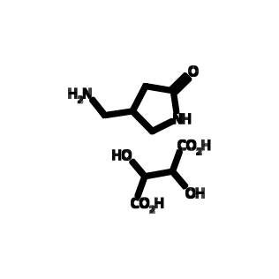 NCC1CNC(=O)C1.O=C(O)C(O)C(O)C(=O)O